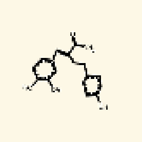 NC(=O)/C(=C/c1ccc(O)c(O)c1)CCc1ccc(O)cc1